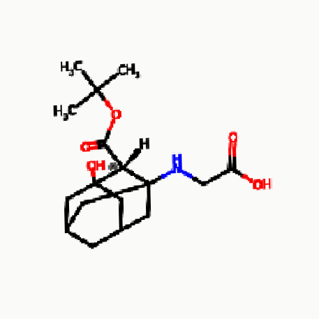 CC(C)(C)OC(=O)[C@H]1C2(O)CC3CC(C2)CC1(NCC(=O)O)C3